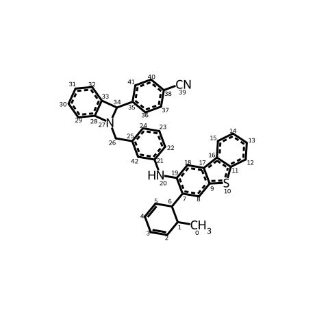 CC1C=CC=CC1c1cc2sc3ccccc3c2cc1Nc1cccc(CN2c3ccccc3C2c2ccc(C#N)cc2)c1